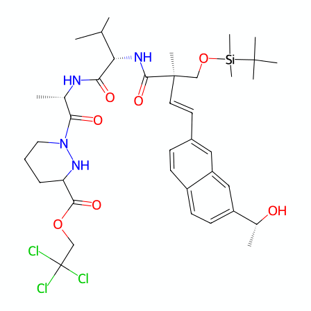 CC(C)[C@H](NC(=O)[C@](C)(/C=C/c1ccc2ccc([C@@H](C)O)cc2c1)CO[Si](C)(C)C(C)(C)C)C(=O)N[C@@H](C)C(=O)N1CCCC(C(=O)OCC(Cl)(Cl)Cl)N1